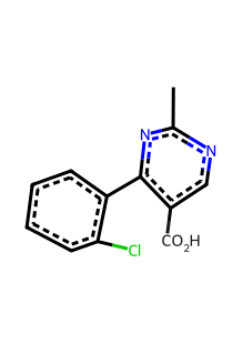 Cc1ncc(C(=O)O)c(-c2ccccc2Cl)n1